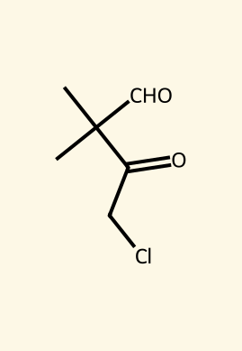 CC(C)(C=O)C(=O)CCl